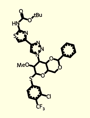 COC1C(Sc2ccc(C(F)(F)F)c(Cl)c2)OC2COC(c3ccccc3)OC2C1n1cc(-c2csc(NC(=O)OC(C)(C)C)n2)nn1